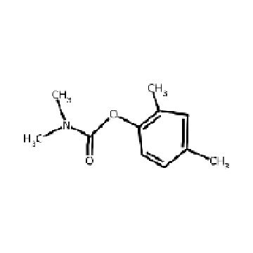 Cc1ccc(OC(=O)N(C)C)c(C)c1